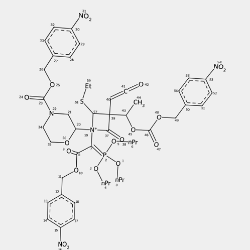 CCCOP(OCCC)(OCCC)=C(C(=O)OCc1ccc([N+](=O)[O-])cc1)[N+]1(C2CN(C(=O)OCc3ccc([N+](=O)[O-])cc3)CCO2)C(=O)C(C=C=O)(C(C)OC(=O)OCc2ccc([N+](=O)[O-])cc2)C1SCC